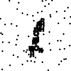 c1cc2cc(CNCC3CCC3)[nH]c2cc1Cn1cc(-c2cc(N3CC3)cc3[nH]ncc23)nn1